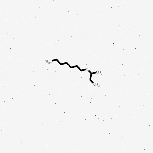 CCCCCCCOC(C)CC